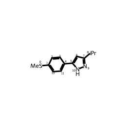 CSc1ccc(-c2cc(C(C)C)n[nH]2)cc1